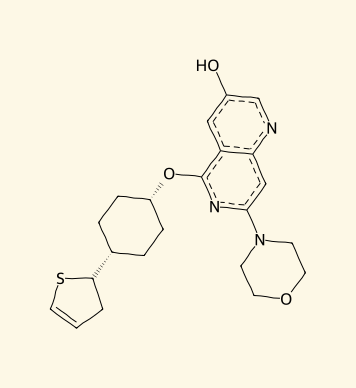 Oc1cnc2cc(N3CCOCC3)nc(O[C@H]3CC[C@@H](C4CC=CS4)CC3)c2c1